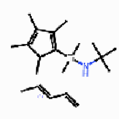 C=C/C=C/C.CC1=C(C)C(C)[C]([Ti]([CH3])([CH3])[NH]C(C)(C)C)=C1C